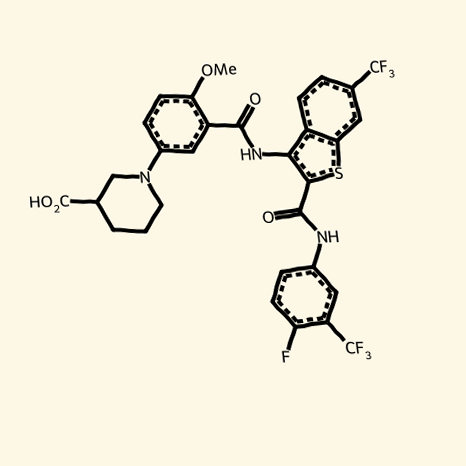 COc1ccc(N2CCCC(C(=O)O)C2)cc1C(=O)Nc1c(C(=O)Nc2ccc(F)c(C(F)(F)F)c2)sc2cc(C(F)(F)F)ccc12